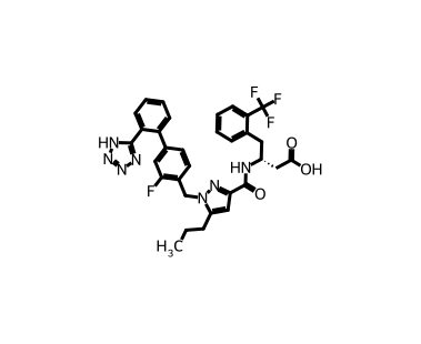 CCCc1cc(C(=O)N[C@@H](CC(=O)O)Cc2ccccc2C(F)(F)F)nn1Cc1ccc(-c2ccccc2-c2nnn[nH]2)cc1F